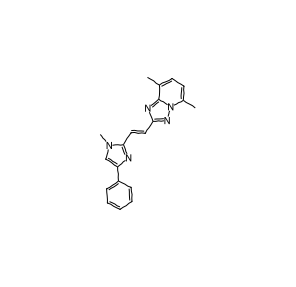 Cc1ccc(C)n2nc(C=Cc3nc(-c4ccccc4)cn3C)nc12